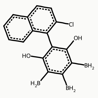 Bc1c(B)c(O)c(-c2c(Cl)ccc3ccccc23)c(O)c1B